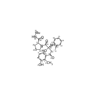 Cc1c(O)cccc1C(=O)[C@@H](Cc1ccccc1)[C@](N)(O)C(=O)N1CSC[C@H]1C(=O)NC(C)(C)C